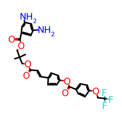 CC(C)(COC(=O)C=Cc1ccc(OC(=O)c2ccc(OCC(F)(F)F)cc2)cc1)COC(=O)c1cc(N)cc(N)c1